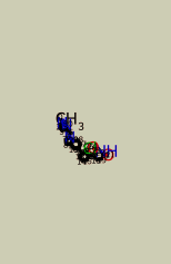 Cn1ccc(Cn2ccc3cc(-c4cccc(C5CCC(=O)NC5=O)c4Cl)ccc32)n1